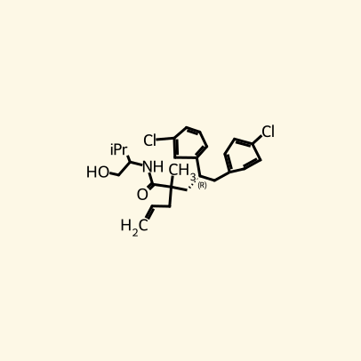 C=CCC(C)(C[C@@H](Cc1ccc(Cl)cc1)c1cccc(Cl)c1)C(=O)NC(CO)C(C)C